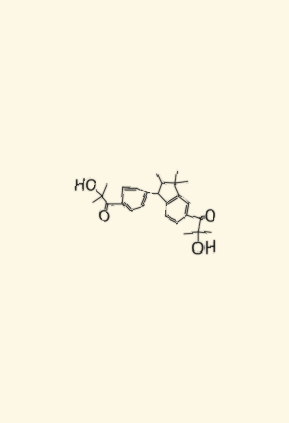 CC1C(c2ccc(C(=O)C(C)(C)O)cc2)c2ccc(C(=O)C(C)(C)O)cc2C1(C)C